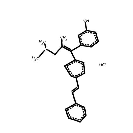 CC(CN(C)C)=C(c1ccc(C=Cc2ccccc2)cc1)c1cccc(O)c1.Cl